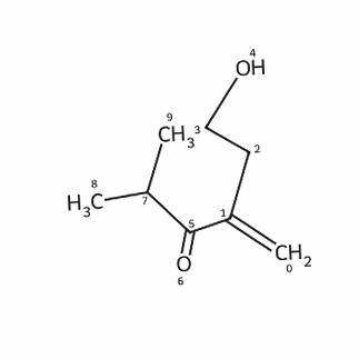 C=C(CCO)C(=O)C(C)C